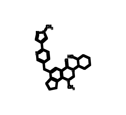 CN1CN(C2CCCCC2O)C(=O)c2cc(Cc3ccc(-c4cnn(C)c4)nc3)c3c(c21)CCC3